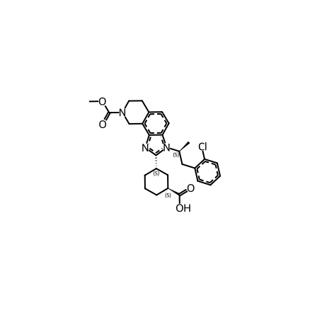 COC(=O)N1CCc2ccc3c(nc([C@H]4CCC[C@H](C(=O)O)C4)n3[C@@H](C)Cc3ccccc3Cl)c2C1